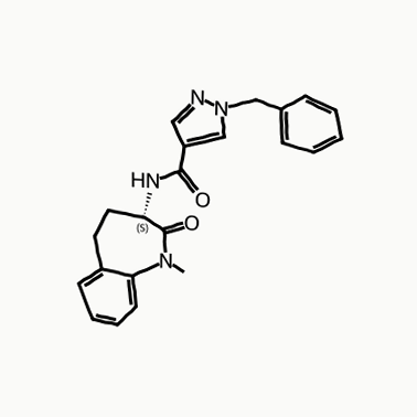 CN1C(=O)[C@@H](NC(=O)c2cnn(Cc3ccccc3)c2)CCc2ccccc21